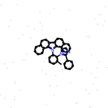 Cc1cccc(-n2c3c4ccccc4ccc3c3ccc4ccccc4c32)c1-n1ccnc1-c1ccccc1